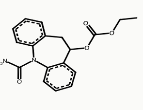 CCOC(=O)OC1Cc2ccccc2N(C(N)=O)c2ccccc21